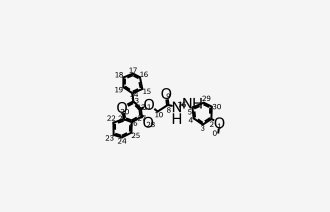 COc1ccc(NNC(=O)COc2c(-c3ccccc3)oc3ccccc3c2=O)cc1